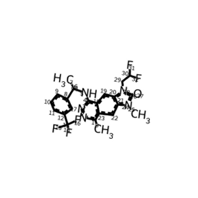 Cc1nnc(N[C@H](C)c2cccc(C(F)(F)F)c2)c2cc3c(cc12)n(C)c(=O)n3CC(F)F